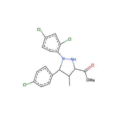 COC(=O)C1NN(c2ccc(Cl)cc2Cl)C(c2ccc(Cl)cc2)C1C